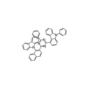 c1ccc(-c2nc(-c3ccc4ccccc4c3-n3c4ccccc4c4ccccc43)nc(-c3cccc4c3c3ccccc3n4-c3ccccc3)n2)cc1